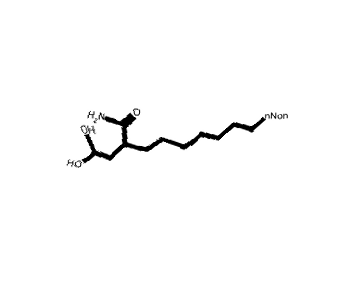 CCCCCCCCCCCCCCCCC(CC(O)O)C(N)=O